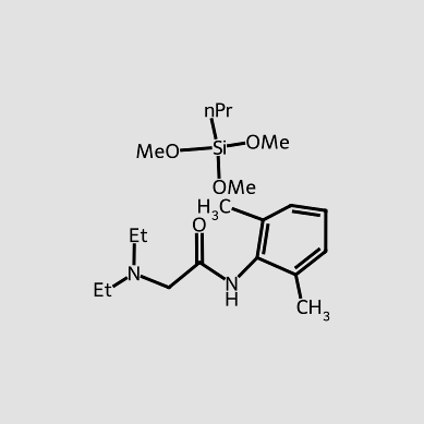 CCC[Si](OC)(OC)OC.CCN(CC)CC(=O)Nc1c(C)cccc1C